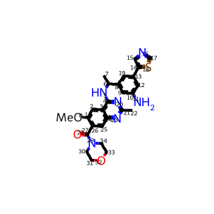 COc1cc2c(NC(C)c3cc(N)cc(-c4cncs4)c3)nc(C)nc2cc1C(=O)N1CCOCC1